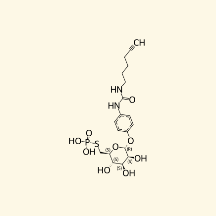 C#CCCCCNC(=O)Nc1ccc(O[C@H]2O[C@H](CSP(=O)(O)O)[C@@H](O)[C@H](O)[C@@H]2O)cc1